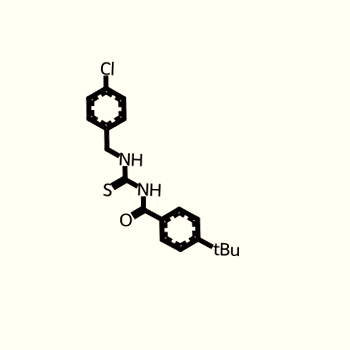 CC(C)(C)c1ccc(C(=O)NC(=S)NCc2ccc(Cl)cc2)cc1